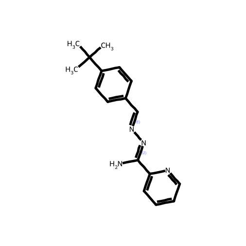 CC(C)(C)c1ccc(/C=N/N=C(\N)c2ccccn2)cc1